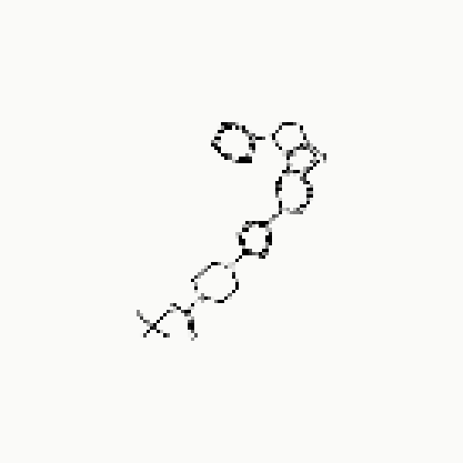 CC(C)(C)OC(=O)N1CCN(c2ccc(-c3ccc4nc5n(c4c3)[C@@H](c3ccccc3)CC5)cn2)CC1